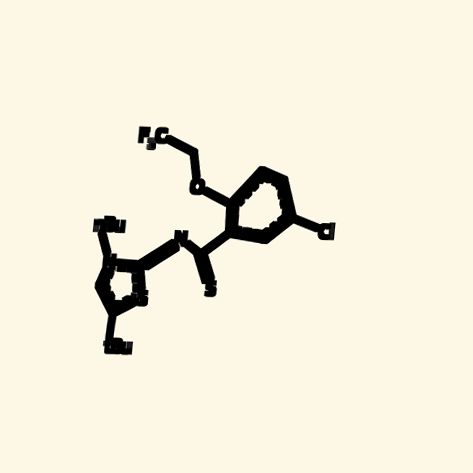 CCCCn1cc(C(C)(C)C)s/c1=N\C(=S)c1cc(Cl)ccc1OCC(F)(F)F